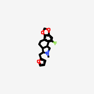 CN1CC2c3c(F)cc4c(c3CCC2C1Cc1ccco1)OCO4